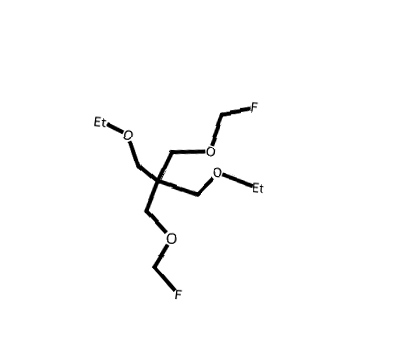 CCOCC(COCC)(COCF)COCF